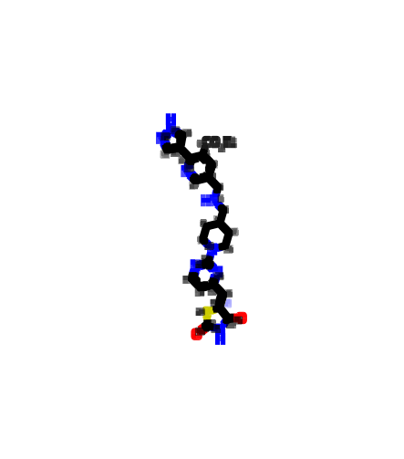 CCOC(=O)c1cc(CNCC2CCN(c3nccc(/C=C4\SC(=O)NC4=O)n3)CC2)cnc1-c1cn[nH]c1